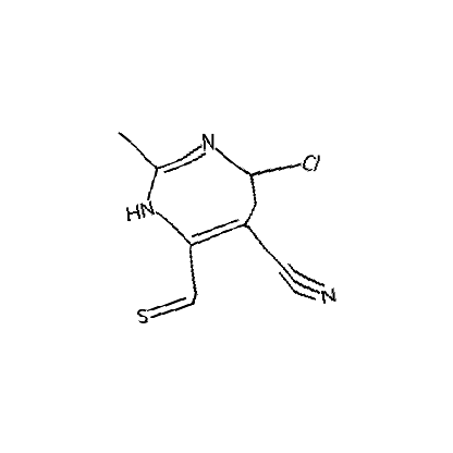 CC1=NC(Cl)C(C#N)=C(C=S)N1